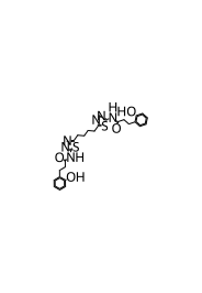 O=C(CCc1ccccc1O)Nc1nnc(CCCCc2nnc(NC(=O)CCc3ccccc3O)s2)s1